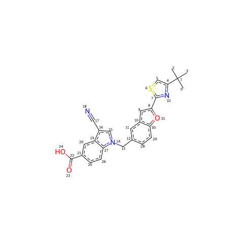 CC(C)(C)c1csc(-c2cc3cc(Cn4cc(C#N)c5cc(C(=O)O)ccc54)ccc3o2)n1